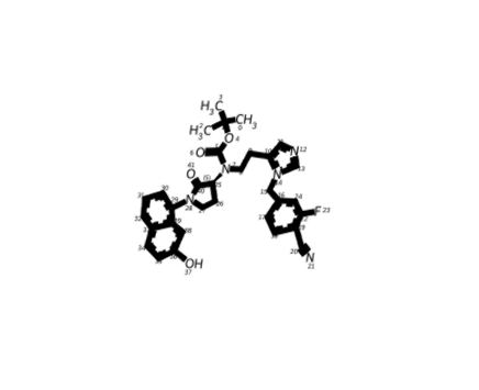 CC(C)(C)OC(=O)N(CCc1cncn1Cc1ccc(C#N)c(F)c1)[C@H]1CCN(c2cccc3ccc(O)cc23)C1=O